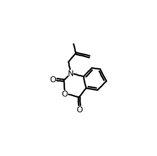 C=C(C)Cn1c(=O)oc(=O)c2ccccc21